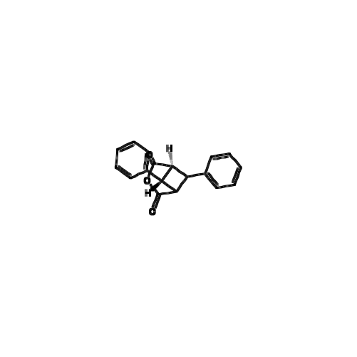 O=C1OC(=O)[C@H]2C(c3ccccc3)C1[C@@H]2c1ccccc1